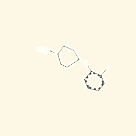 O=C(O)[C@H]1CC[C@H](Oc2ccccc2F)CC1